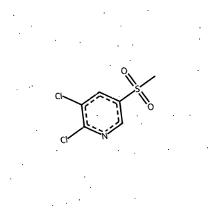 CS(=O)(=O)c1cnc(Cl)c(Cl)c1